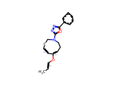 C/C=C/OC1=C/CCN(c2nnc(-c3ccccc3)o2)CC/C=C\1